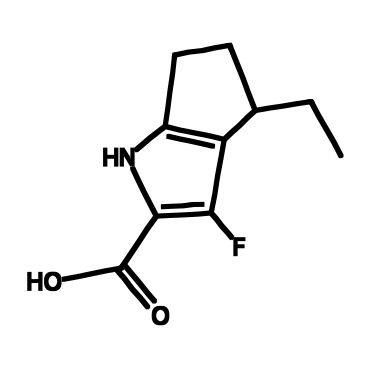 CCC1CCc2[nH]c(C(=O)O)c(F)c21